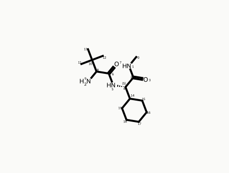 CNC(=O)[C@@H](NC(=O)C(N)C(C)(C)C)C1CCCCC1